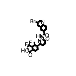 Cc1c(-c2ccc(=O)n(NC(=O)c3ccc4ncc(Br)cc4c3)n2)ccc(C(=O)O)c1C(F)(F)F